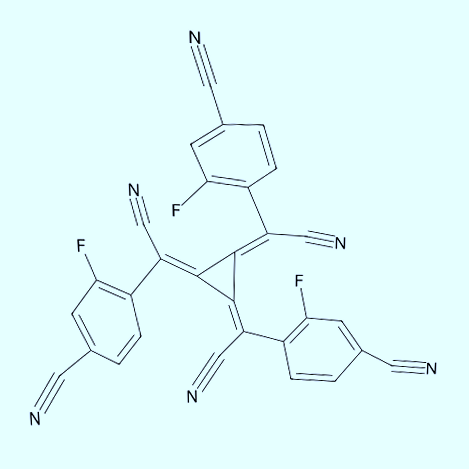 N#CC(=C1C(=C(C#N)c2ccc(C#N)cc2F)C1=C(C#N)c1ccc(C#N)cc1F)c1ccc(C#N)cc1F